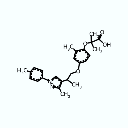 Cc1ccc(-n2cc(C(C)COc3ccc(OC(C)(C)C(=O)O)c(C)c3)c(C)n2)cc1